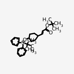 CC(C)(C)OC(=O)/C=C/C1CCC(O[Si](c2ccccc2)(c2ccccc2)C(C)(C)C)CC1